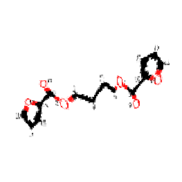 O=C(OCCCCOC(=O)c1ccco1)c1ccco1